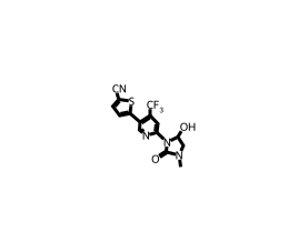 CN1CC(O)N(c2cc(C(F)(F)F)c(-c3ccc(C#N)s3)cn2)C1=O